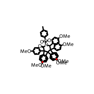 COc1ccc(C2N(S(=O)(=O)c3ccc(C)cc3)C(=O)C(c3ccc(OC)cc3)(c3ccc(OC)cc3)C(c3ccc(OC)cc3)(c3ccc(OC)cc3)C2(c2ccc(OC)cc2)c2ccc(OC)cc2)cc1